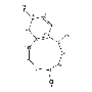 CC1CCC(Cl)CCOC2=C1C=CC(F)C2